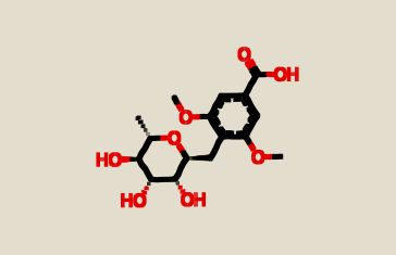 COc1cc(C(=O)O)cc(OC)c1C[C@@H]1O[C@@H](C)[C@H](O)[C@@H](O)[C@H]1O